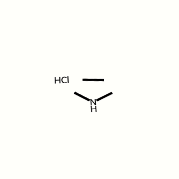 CC.CNC.Cl